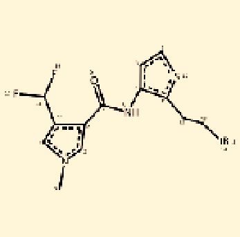 Cn1cc(C(=O)Nc2ccsc2CCC(C)(C)C)c(C(F)F)c1